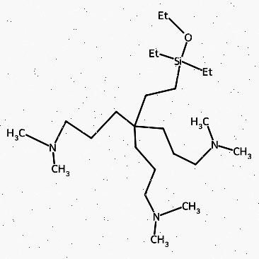 CCO[Si](CC)(CC)CCC(CCCN(C)C)(CCCN(C)C)CCCN(C)C